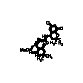 COCC[C@H]([C@@H]1C[C@H]1C(=O)NC1CC(C)(C)Oc2c(Cl)cc(Cl)cc21)N1C(=N)NC(C)(C)CC1=O